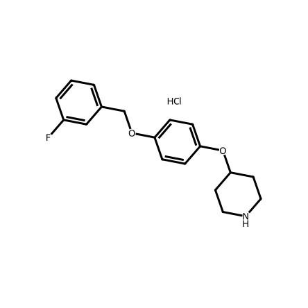 Cl.Fc1cccc(COc2ccc(OC3CCNCC3)cc2)c1